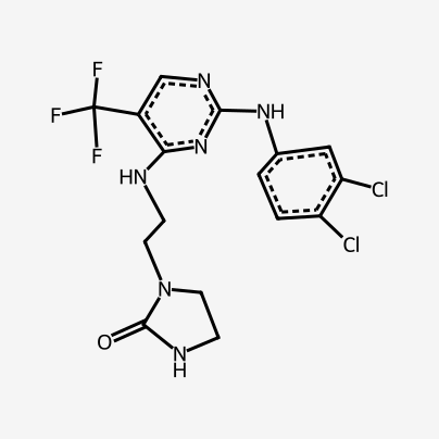 O=C1NCCN1CCNc1nc(Nc2ccc(Cl)c(Cl)c2)ncc1C(F)(F)F